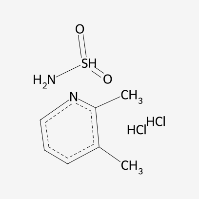 Cc1cccnc1C.Cl.Cl.N[SH](=O)=O